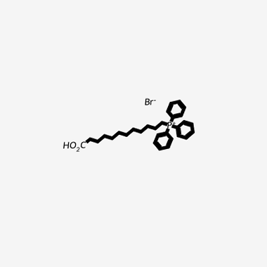 O=C(O)CCCCCCCCCCC[P+](c1ccccc1)(c1ccccc1)c1ccccc1.[Br-]